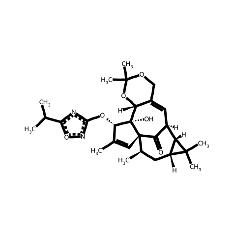 CC1=C[C@]23C(=O)[C@@H](C=C4COC(C)(C)O[C@H]4[C@]2(O)[C@H]1Oc1noc(C(C)C)n1)[C@H]1[C@@H](C[C@H]3C)C1(C)C